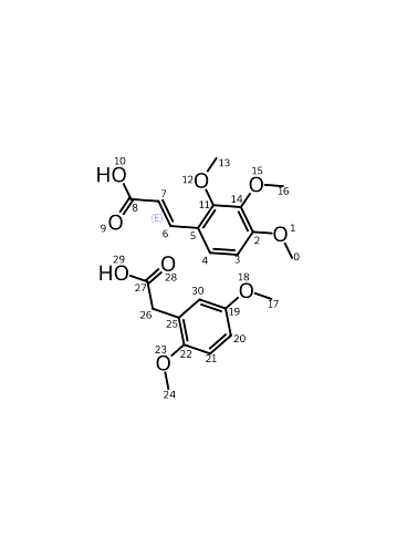 COc1ccc(/C=C/C(=O)O)c(OC)c1OC.COc1ccc(OC)c(CC(=O)O)c1